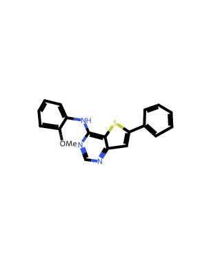 COc1ccccc1Nc1ncnc2cc(-c3ccccc3)sc12